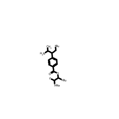 CCCCC(OC(=O)c1ccc(C(CC(C)(C)C)C(C)N)cc1)C(F)SC